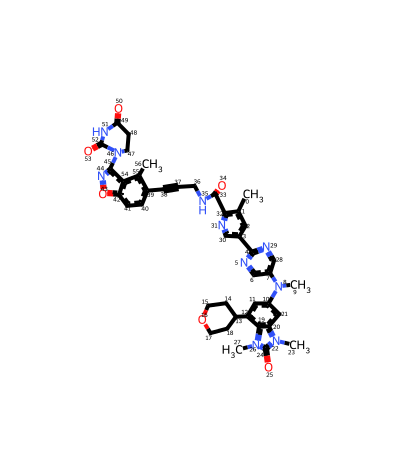 Cc1cc(-c2ncc(N(C)c3cc(C4CCOCC4)c4c(c3)n(C)c(=O)n4C)cn2)cnc1C(=O)NCC#Cc1ccc2onc(N3CCC(=O)NC3=O)c2c1C